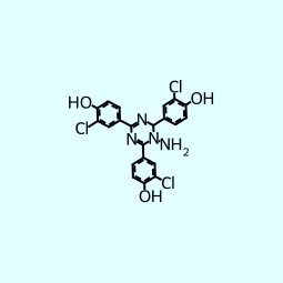 NN1C(c2ccc(O)c(Cl)c2)=NC(c2ccc(O)c(Cl)c2)=NC1c1ccc(O)c(Cl)c1